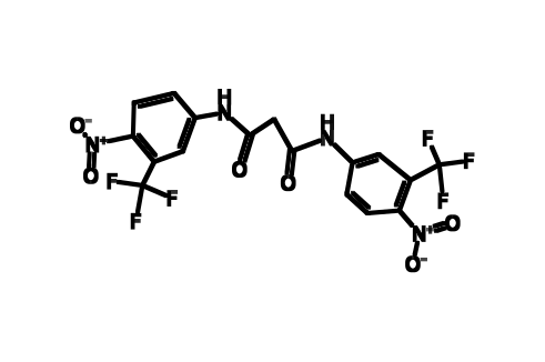 O=C(CC(=O)Nc1ccc([N+](=O)[O-])c(C(F)(F)F)c1)Nc1ccc([N+](=O)[O-])c(C(F)(F)F)c1